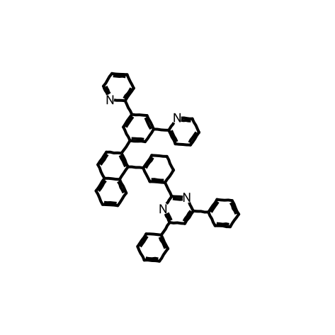 C1=C(c2nc(-c3ccccc3)cc(-c3ccccc3)n2)CCC=C1c1c(-c2cc(-c3ccccn3)cc(-c3ccccn3)c2)ccc2ccccc12